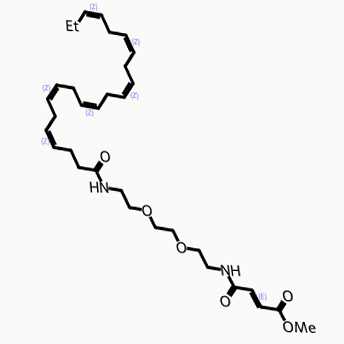 CC/C=C\C/C=C\C/C=C\C/C=C\C/C=C\C/C=C\CCC(=O)NCCOCCOCCNC(=O)/C=C/C(=O)OC